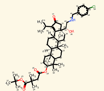 CC(C)C1=C2[C@H]3CC[C@@H]4[C@@]5(C)CC[C@H](OC(=O)CC(C)(C)C(=O)OC(C)(C)C)C(C)(C)C5CC[C@@]4(C)[C@]3(C)CC[C@@]2([C@@H](O)CNCc2ccc(Cl)cc2)CC1=O